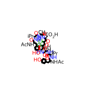 CC(=O)N[C@@H](Cc1ccc(O)cc1)C(=O)N[C@H](C(=O)N[C@@H](C)C(=O)N[C@@H](CC(=O)O)C(=O)C(Cl)C(=O)C(Cl)C(=O)[C@H](CC(=O)O)NC(=O)[C@H](C)NC(=O)[C@@H](NC(=O)[C@H](Cc1ccc(O)cc1)NC(C)=O)C(C)C)C(C)C